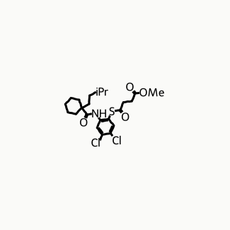 COC(=O)CCC(=O)Sc1cc(Cl)c(Cl)cc1NC(=O)C1(CCC(C)C)CCCCC1